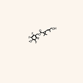 COc1c(F)c(F)c(COC(=O)C2C(/C=C(\C)CO)C2(C)C)c(F)c1F